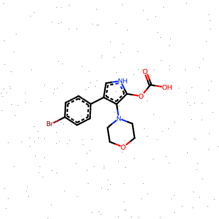 O=C(O)Oc1[nH]cc(-c2ccc(Br)cc2)c1N1CCOCC1